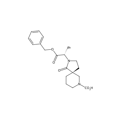 CC(C)[C@@H](C(=O)OCc1ccccc1)N1CC[C@@]2(CCCN(C(=O)O)C2)C1=O